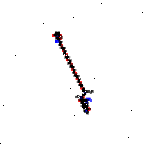 CCCN(OCCN(CCOCCOCCOCCOCCOCCOCCOCCOCCOCCOCCNC(=O)CN1C(=O)C=CC1=O)C(=O)O)C(=O)C1=Cc2ccc(C(=O)N(C)C)cc2N=C(N)C1